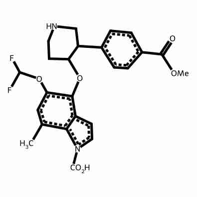 COC(=O)c1ccc(C2CNCCC2Oc2c(OC(F)F)cc(C)c3c2ccn3C(=O)O)cc1